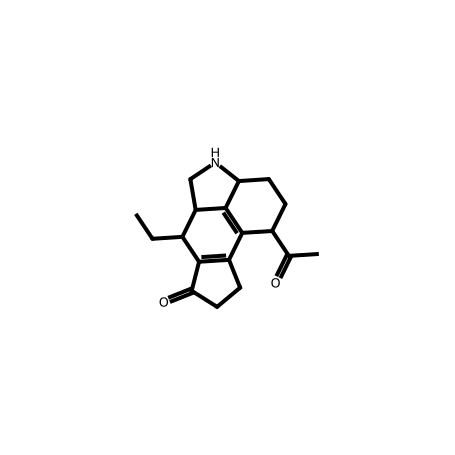 CCC1C2=C(CCC2=O)C2=C3C(CCC2C(C)=O)NCC31